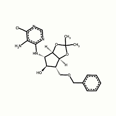 CC1(C)O[C@@H]2[C@@H](Nc3ncnc(Cl)c3N)[C@H](O)[C@@H](COCc3ccccc3)[C@@H]2O1